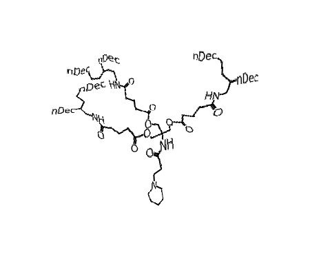 CCCCCCCCCCCCC(CCCCCCCCCC)CNC(=O)CCCC(=O)OCC(COC(=O)CCCC(=O)NCC(CCCCCCCCCC)CCCCCCCCCCCC)(COC(=O)CCCC(=O)NCC(CCCCCCCCCC)CCCCCCCCCCCC)NC(=O)CCN1CCCCC1